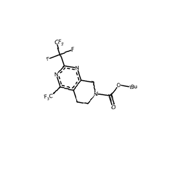 CC(C)(C)OC(=O)N1CCc2c(nc(C(F)(F)C(F)(F)F)nc2C(F)(F)F)C1